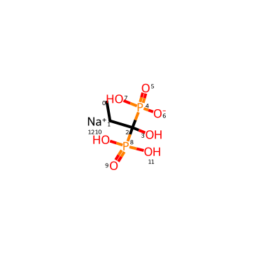 CCC(O)(P(=O)([O-])O)P(=O)(O)O.[Na+]